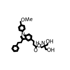 COCc1ccc(-n2cc(CCc3ccccc3)c3cc(CCC(=O)OCC(N)(CO)CO)ccc32)cc1